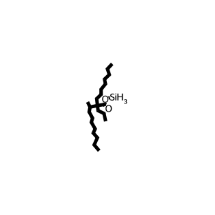 CCCCCCCCC(C)C(CCC)(CCCCCCCC)C(=O)O[SiH3]